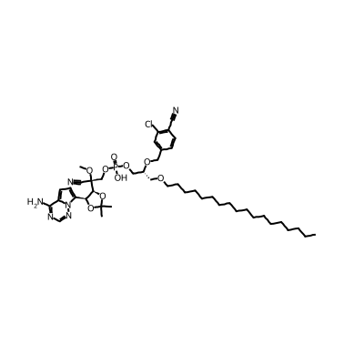 CCCCCCCCCCCCCCCCCCOC[C@H](COP(=O)(O)OC[C@@](C#N)(OC)[C@H]1OC(C)(C)O[C@H]1c1ccc2c(N)ncnn12)OCc1ccc(C#N)c(Cl)c1